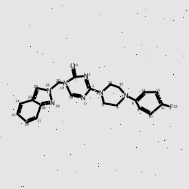 O=c1nc(N2CCN(c3ccc(F)cc3)CC2)ncn1Cn1cc2ccccc2n1